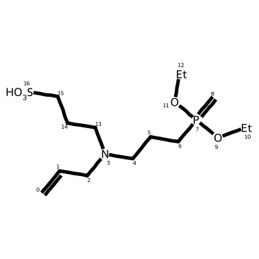 C=CCN(CCCP(=C)(OCC)OCC)CCCS(=O)(=O)O